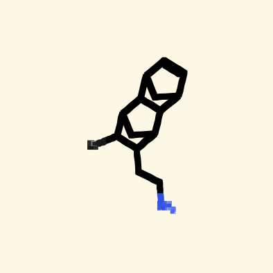 CCC1C(CCN)C2CC1C1C3C=CC(C3)C21